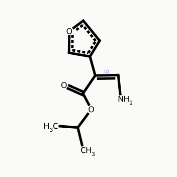 CC(C)OC(=O)/C(=C\N)c1ccoc1